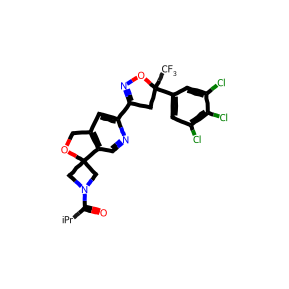 CC(C)C(=O)N1CC2(C1)OCc1cc(C3=NOC(c4cc(Cl)c(Cl)c(Cl)c4)(C(F)(F)F)C3)ncc12